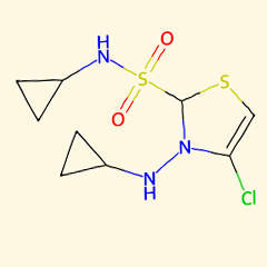 O=S(=O)(NC1CC1)C1SC=C(Cl)N1NC1CC1